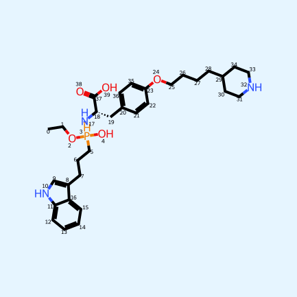 CCO[PH](O)(CCCc1c[nH]c2ccccc12)N[C@@H](Cc1ccc(OCCCCC2CCNCC2)cc1)C(=O)O